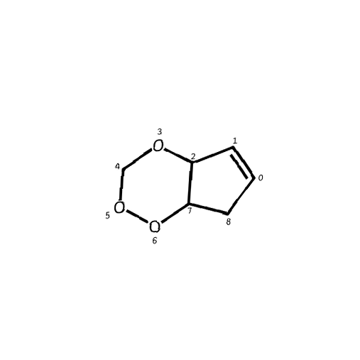 C1=CC2OCOOC2C1